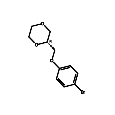 Brc1ccc(OC[C@H]2COCCO2)cc1